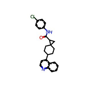 O=C(Nc1ccc(Cl)cc1)C1CC12CCC(c1ccnc3ccccc13)CC2